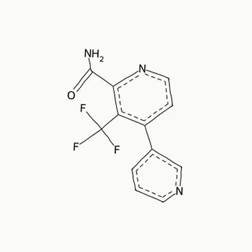 NC(=O)c1nccc(-c2cccnc2)c1C(F)(F)F